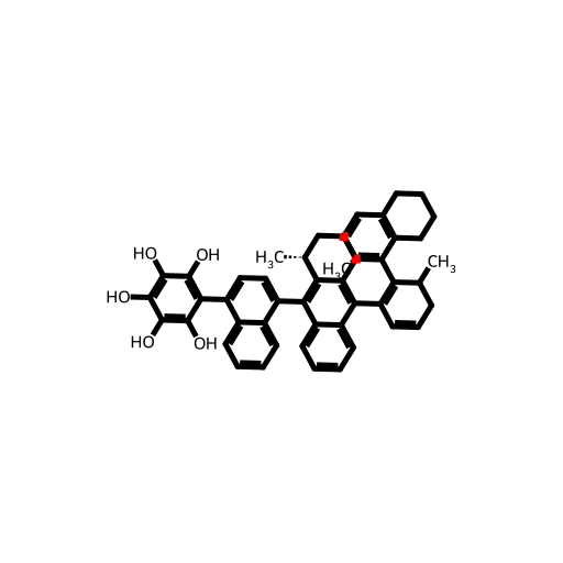 Cc1ccc2c(c1C1=C(c3c4c(c(-c5ccc(-c6c(O)c(O)c(O)c(O)c6O)c6ccccc56)c5ccccc35)[C@H](C)CCC4)C=CCC1C)CCCC2